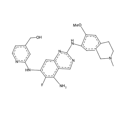 COc1cc2c(cc1Nc1ncc3c(N)c(F)c(Nc4cc(CO)ccn4)cc3n1)CN(C)CC2